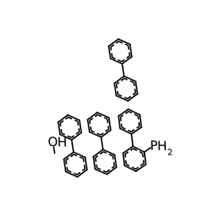 CO.Pc1ccccc1-c1ccccc1.c1ccc(-c2ccccc2)cc1.c1ccc(-c2ccccc2)cc1.c1ccc(-c2ccccc2)cc1